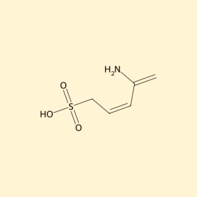 C=C(N)/C=C\CS(=O)(=O)O